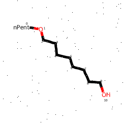 CCCCCOCCCCCCCCO